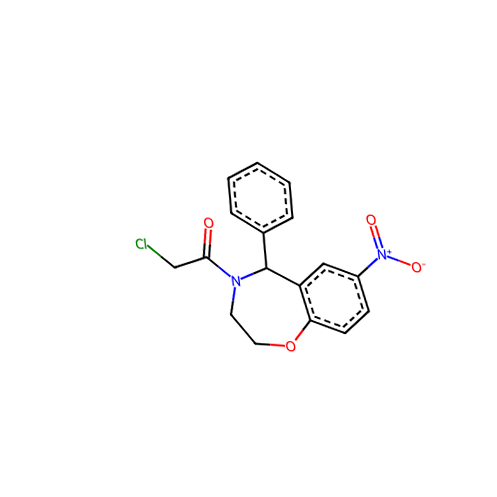 O=C(CCl)N1CCOc2ccc([N+](=O)[O-])cc2C1c1ccccc1